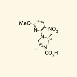 COc1ccc([N+](=O)[O-])c(N2C[C@@H](C)N(C(=O)O)C[C@@H]2C)n1